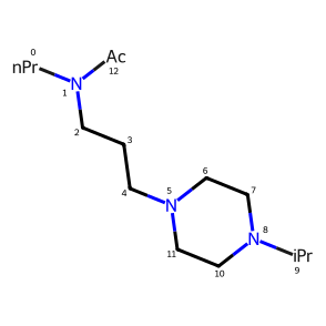 CCCN(CCCN1CCN(C(C)C)CC1)C(C)=O